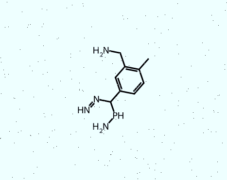 Cc1ccc(C(N=N)PN)cc1CN